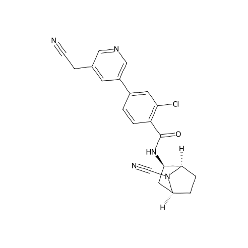 N#CCc1cncc(-c2ccc(C(=O)N[C@@H]3C[C@@H]4CC[C@H]3N4C#N)c(Cl)c2)c1